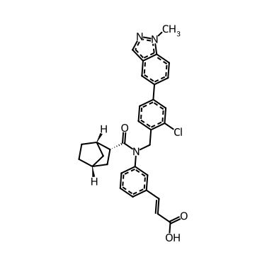 Cn1ncc2cc(-c3ccc(CN(C(=O)[C@@H]4C[C@@H]5CC[C@H]4C5)c4cccc(/C=C/C(=O)O)c4)c(Cl)c3)ccc21